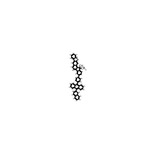 CC1(C)c2ccc(-c3ccc(-c4c5ccccc5c(C5=CC=C6C=CC=CC6C5)c5ccccc45)cc3)cc2-c2ccc3cc4c(cc3c21)sc1ccccc14